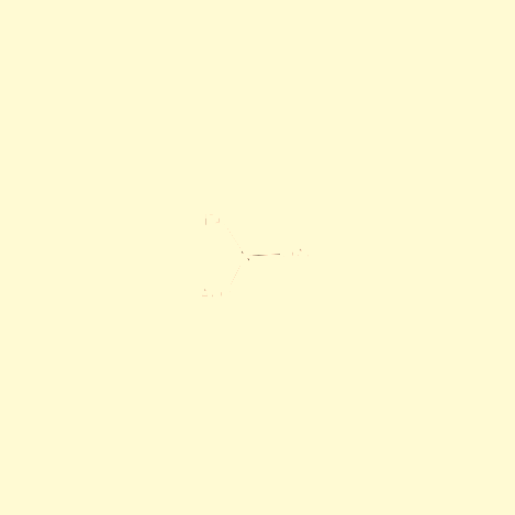 CCC(C)N(OC(C)=O)OC(C)=O